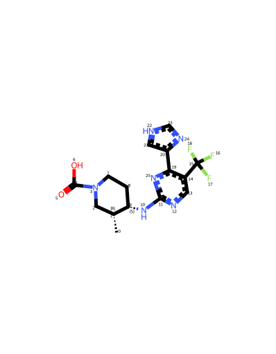 C[C@@H]1CN(C(=O)O)CC[C@@H]1Nc1ncc(C(F)(F)F)c(-c2c[nH]cn2)n1